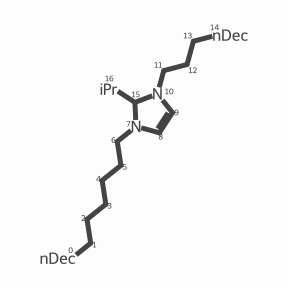 CCCCCCCCCCCCCCCCN1C=CN(CCCCCCCCCCCCC)C1C(C)C